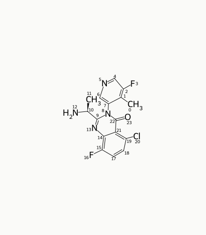 Cc1c(F)cncc1-n1c([C@H](C)N)nc2c(F)ccc(Cl)c2c1=O